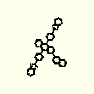 c1ccc2cc(-c3ccc4c(-c5ccc(-c6nc7ccccc7s6)cc5)c5ccccc5c(-c5ccc(-c6nc7ccccc7s6)cc5)c4c3)ccc2c1